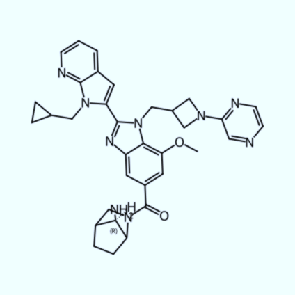 COc1cc(C(=O)N2CC3CCC2[C@@H]3N)cc2nc(-c3cc4cccnc4n3CC3CC3)n(CC3CN(c4cnccn4)C3)c12